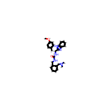 COc1ccc(C[C@@H](NC(=O)NCc2ccccc2CN(C)C)c2nc3ccccc3[nH]2)cc1